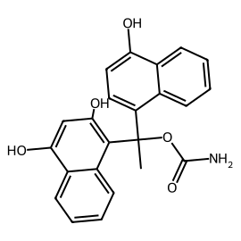 CC(OC(N)=O)(c1ccc(O)c2ccccc12)c1c(O)cc(O)c2ccccc12